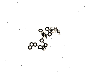 CC1(C)c2ccccc2-c2c(-c3nc(-c4ccccc4)nc(-c4cccc(-c5cccc6oc7ccc(-c8ccc9ccc%10ccccc%10c9c8)cc7c56)c4)n3)cccc21